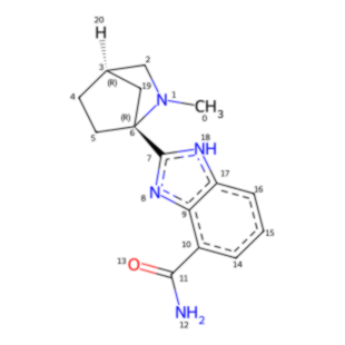 CN1C[C@@H]2CC[C@]1(c1nc3c(C(N)=O)cccc3[nH]1)C2